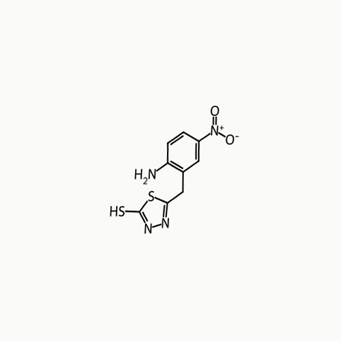 Nc1ccc([N+](=O)[O-])cc1Cc1nnc(S)s1